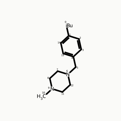 CCC(C)c1ccc(CN2CCN(C)CC2)cc1